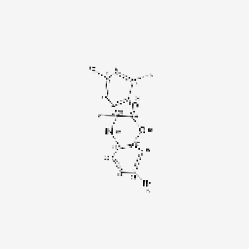 C[C@@]1(c2cc(F)cc(F)c2)Nc2ccc(Br)cc2OC1=O